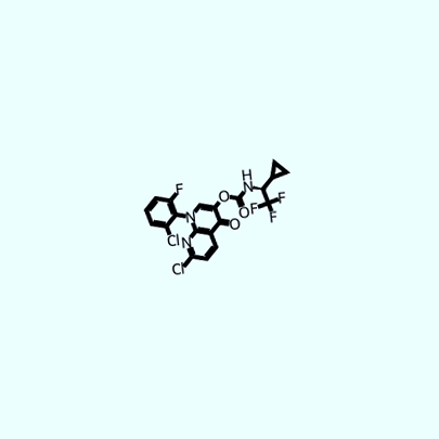 O=C(N[C@@H](C1CC1)C(F)(F)F)Oc1cn(-c2c(F)cccc2Cl)c2nc(Cl)ccc2c1=O